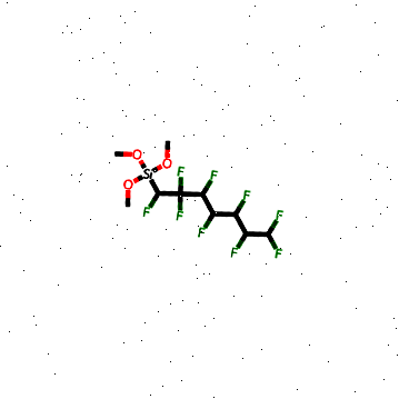 CO[Si](OC)(OC)C(F)C(F)(F)C(F)C(F)C(F)C(F)C(F)F